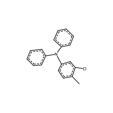 Cc1ccc(N(c2ccccc2)c2ccccc2)cc1Cl